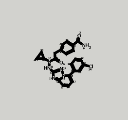 NC(=O)c1ccc(CC(=O)N(Nc2nc3cccc(-c4cccc(Cl)c4)n3n2)C2CC2)cc1